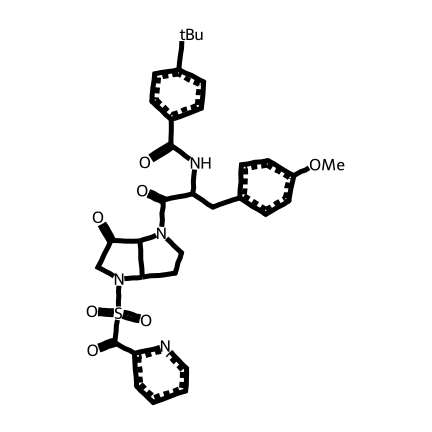 COc1ccc(CC(NC(=O)c2ccc(C(C)(C)C)cc2)C(=O)N2CCC3C2C(=O)CN3S(=O)(=O)C(=O)c2ccccn2)cc1